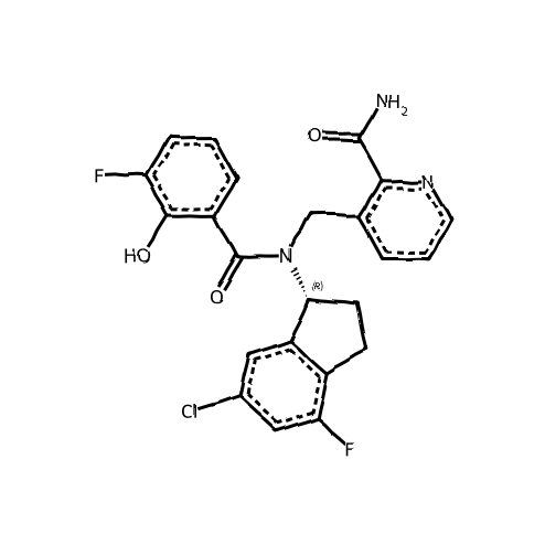 NC(=O)c1ncccc1CN(C(=O)c1cccc(F)c1O)[C@@H]1CCc2c(F)cc(Cl)cc21